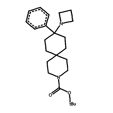 CC(C)(C)OC(=O)N1CCC2(CC1)CCC(c1ccccc1)(N1CCC1)CC2